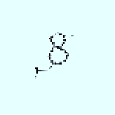 CC(=O)Nc1cc2cnn(C)c2cn1